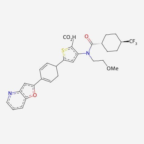 COCCN(c1cc(C2C=CC(c3cc4ncccc4o3)=CC2)sc1C(=O)O)C(=O)[C@H]1CC[C@H](C(F)(F)F)CC1